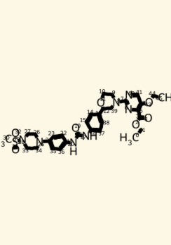 CCOC(=O)c1nc(N2CCOC(c3ccc(NC(=O)Nc4ccc(N5CCN(S(C)(=O)=O)CC5)cc4)cc3)C2)ncc1OCC